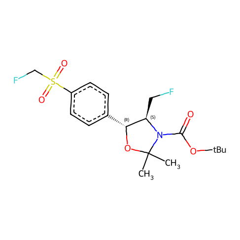 CC(C)(C)OC(=O)N1[C@H](CF)[C@@H](c2ccc(S(=O)(=O)CF)cc2)OC1(C)C